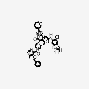 [2H]C([2H])([2H])Sc1ccc(NC(=O)Cn2c(CC)c(N3CCN(C(=O)c4ncnc(C)c4OCc4ccccc4)CC3)c(=O)n3nc(C4=CCCCOC4)nc23)c(Cl)c1